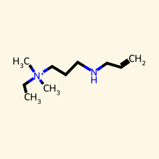 C=CCNCCC[N+](C)(C)CC